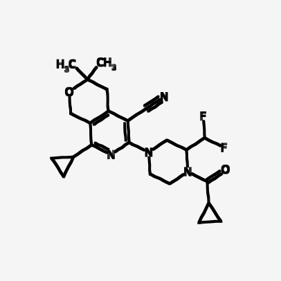 CC1(C)Cc2c(C#N)c(N3CCN(C(=O)C4CC4)C(C(F)F)C3)nc(C3CC3)c2CO1